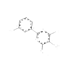 Nc1nc(-c2cccc(Br)c2)nc(Cl)c1N